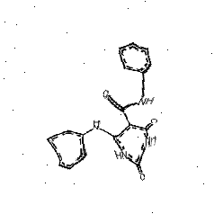 O=C(Nc1ccccc1)c1c(Nc2ccccc2)[nH]c(=O)[nH]c1=O